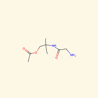 [CH2]C([CH2])(COC(C)=O)NC(=O)CN